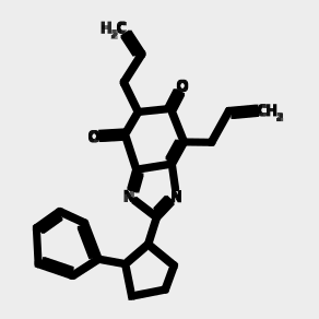 C=CCC1=C2N=C(C3CCCC3c3ccccc3)N=C2C(=O)C(CC=C)C1=O